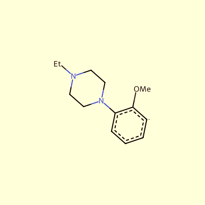 CCN1CCN(c2ccc[c]c2OC)CC1